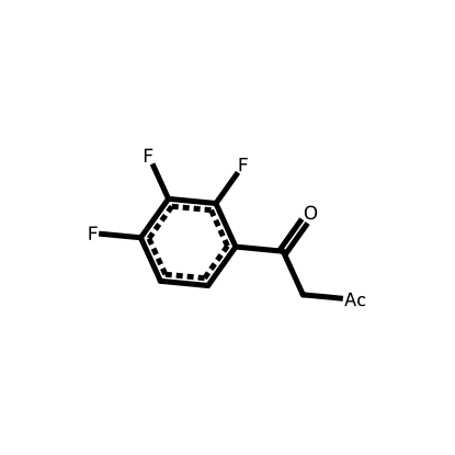 CC(=O)CC(=O)c1ccc(F)c(F)c1F